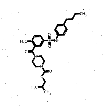 CCCCc1ccc(NS(=O)(=O)c2ccc(C)c(C(=O)N3CCN(C(=O)OCC(C)C)CC3)c2)cc1